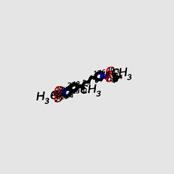 CC(CCCC1CCN(C(=O)OC2(C)CC2)CC1)c1ccc2c(c1)CCN(S(C)(=O)=O)C2